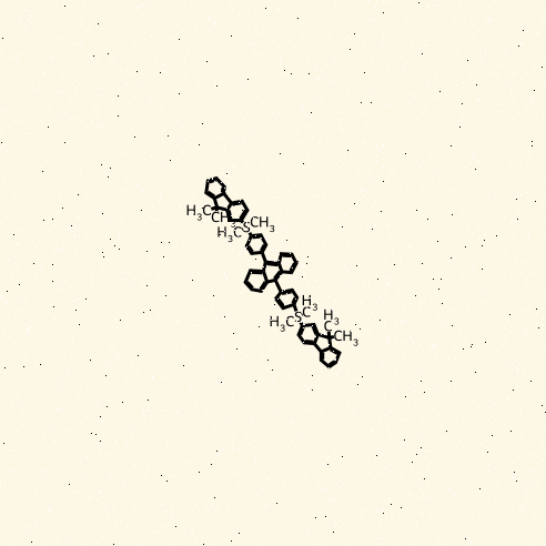 CC1(C)c2ccccc2-c2ccc(S(C)(C)c3ccc(-c4c5ccccc5c(-c5ccc(S(C)(C)c6ccc7c(c6)C(C)(C)c6ccccc6-7)cc5)c5ccccc45)cc3)cc21